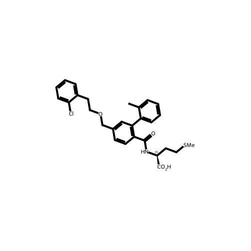 CSCC[C@H](NC(=O)c1ccc(COCCc2ccccc2Cl)cc1-c1ccccc1C)C(=O)O